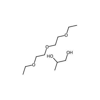 CC(O)CO.CCOCCOCCOCC